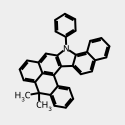 CC1(C)c2ccccc2-c2c3c1cccc3cc1c2c2ccc3ccccc3c2n1-c1ccccc1